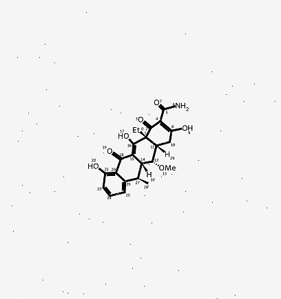 CC[C@@]12C(=O)C(C(N)=O)=C(O)C[C@@H]1[C@H](OC)[C@H]1C(=C2O)C(=O)c2c(O)cccc2[C@@H]1C